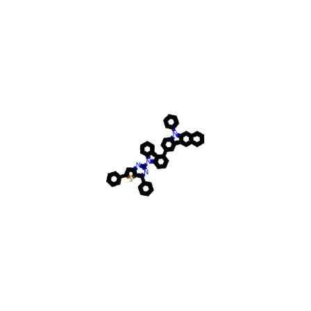 c1ccc(-c2cc3nc(-n4c5ccccc5c5c(-c6ccc7c(c6)c6cc8ccccc8cc6n7-c6ccccc6)cccc54)nc(-c4ccccc4)c3s2)cc1